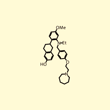 CCN(Cc1ccc(OCCN2CCCCCC2)cc1)c1cc(OC)ccc1C1CCc2cc(O)ccc2C1